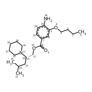 CCCCOc1cc(C(=O)OC[C@H](CC(C)C)N2CCCCC2)ccc1N